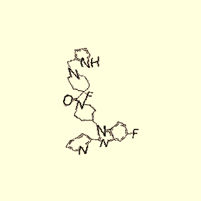 O=C(N1CCC(n2c(-c3ccccn3)nc3cc(F)ccc32)CC1)C1(F)CCN(Cc2ccc[nH]2)CC1